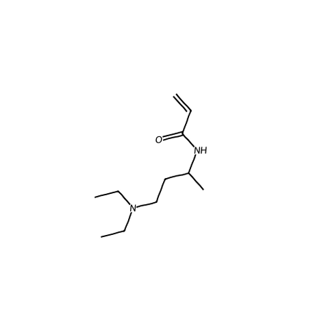 C=CC(=O)NC(C)CCN(CC)CC